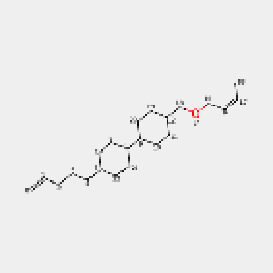 C=CCCCC1CCC(C2CCC(COC/C=C\C)CC2)CC1